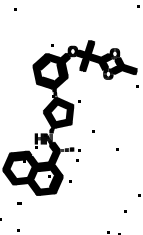 CC1OC(C(C)(C)Oc2cccc([C@@H]3CC[C@H](N[C@H](C)C4=C5C=CCCC5CC=C4)C3)c2)O1